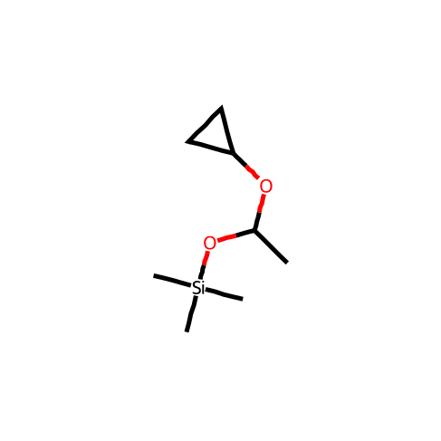 CC(OC1CC1)O[Si](C)(C)C